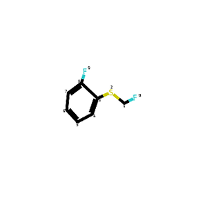 FCSc1ccccc1F